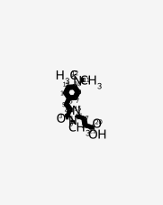 CN1C(=O)/C(=C/c2ccc(N(C)C)cc2)N=C1/C=C/C(=O)O